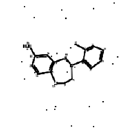 Cc1ccccc1N1CCOc2ccc(N)cc2S1